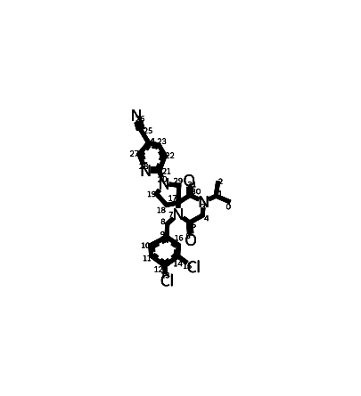 CC(C)N1CC(=O)N(Cc2ccc(Cl)c(Cl)c2)C2(CCN(c3ccc(C#N)cn3)C2)C1=O